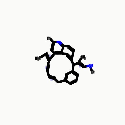 C\C=C1/C=C\C=C\Cc2cccc(c2)C(/C(C)=C/NCC)c2ccc3nc(CC)cc1c3c2